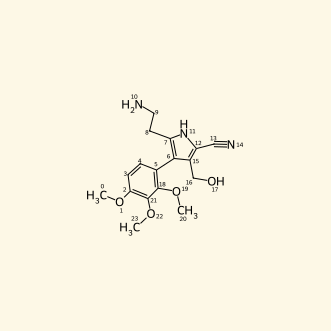 COc1ccc(-c2c(CCN)[nH]c(C#N)c2CO)c(OC)c1OC